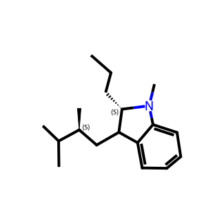 CCC[C@H]1C(C[C@H](C)C(C)C)c2ccccc2N1C